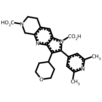 Cc1cc(-c2c(C3CCOCC3)c3nc4c(cc3n2C(=O)O)CCN(C(=O)O)C4)cc(C)n1